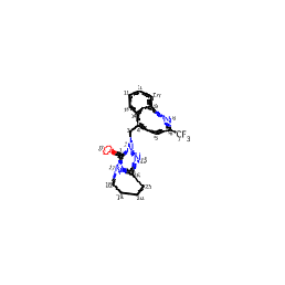 O=c1n(Cc2cc(C(F)(F)F)nc3ccccc23)nc2n1CCCC2